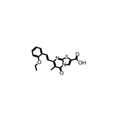 CCOc1ccccc1/C=C/c1nc2sc(C(=O)O)cn2c(=O)c1C